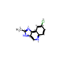 Cc1nc2c(cnc3ccc(Cl)cc32)[nH]1